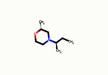 CC[C@@H](C)N1CCO[C@H](C)C1